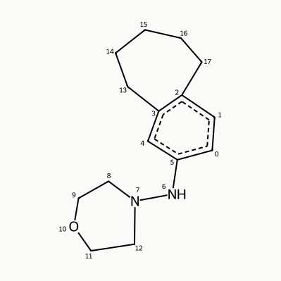 c1cc2c(cc1NN1CCOCC1)CCCCC2